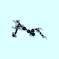 CC/C(=C(/c1ccc(OCCN(C)C(=O)COCCOCCN)cc1)c1ccc(OCc2ccc(NC(=O)[C@H](CCCNC(N)=O)NC(=O)[C@@H](NC(=O)CCCCCN3C(=O)C=CC3=O)C(C)C)cc2)cc1)c1ccccc1